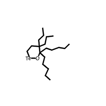 CCCCCC1(CCCCC)O[Te]CCC1(CCC)CCC